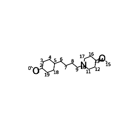 COC1CCC(CCCCN2CCC(OC)CC2)CC1